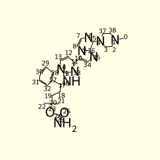 CN1CCN(c2nccn3c(-c4ccnc(NC(CCC(C)(C)OC(N)=O)c5ccccc5)n4)cnc23)CC1